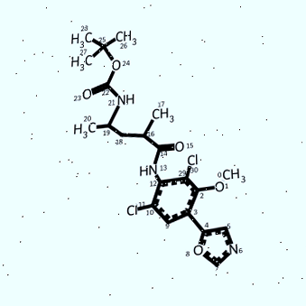 COc1c(-c2cnco2)cc(Cl)c(NC(=O)C(C)CC(C)NC(=O)OC(C)(C)C)c1Cl